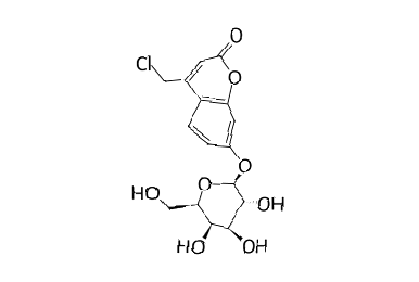 O=c1cc(CCl)c2ccc(O[C@@H]3O[C@H](CO)[C@H](O)[C@H](O)[C@H]3O)cc2o1